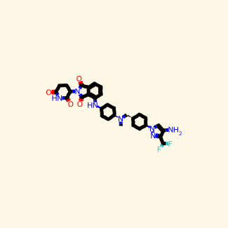 CN(C[C@H]1CC[C@H](n2cc(N)c(C(F)F)n2)CC1)[C@H]1CC[C@H](Nc2cccc3c2C(=O)N(C2CCC(=O)NC2=O)C3=O)CC1